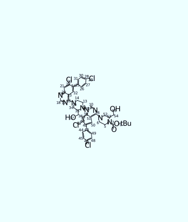 CC(C)(C)OC(=O)N1CCN(c2nc[n+](N3CCN(c4ncnc5cc(Cl)c(-c6ccc(Cl)cc6)cc45)CC3CO)c3cc(Cl)c(-c4ccc(Cl)cc4)cc23)CC1CO